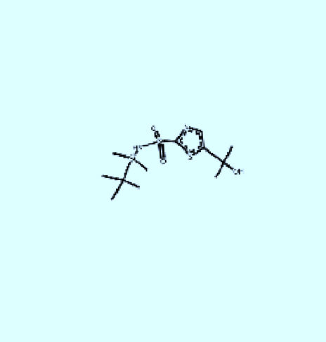 CC(C)(O)c1cnc(S(=O)(=O)N[Si](C)(C)C(C)(C)C)s1